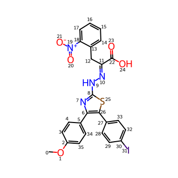 COc1ccc(-c2nc(N/N=C(\Cc3ccccc3[N+](=O)[O-])C(=O)O)sc2-c2ccc(I)cc2)cc1